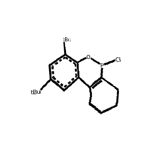 CC(C)(C)c1cc2c(c(C(C)(C)C)c1)OP(Cl)C1=C2CCCC1